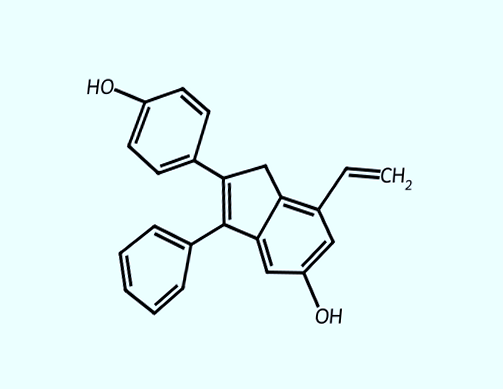 C=Cc1cc(O)cc2c1CC(c1ccc(O)cc1)=C2c1ccccc1